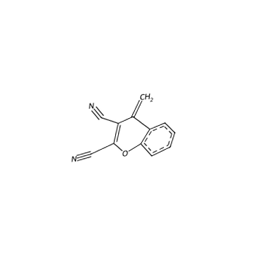 C=C1C(C#N)=C(C#N)Oc2ccccc21